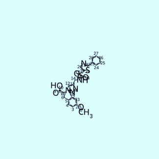 COc1ccc(C[C@@H](C(=O)O)n2cc(CNS(=O)(=O)c3cnc(-c4ccccc4)s3)nn2)cc1